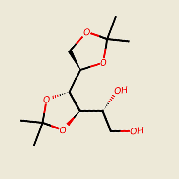 CC1(C)O[C@H]([C@H](O)CO)[C@@H]([C@H]2COC(C)(C)O2)O1